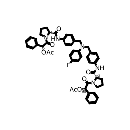 CC(=O)O[C@@H](C(=O)N1CCC[C@H]1C(=O)Nc1ccc(CN(Cc2ccc(NC(=O)[C@@H]3CCCN3C(=O)[C@H](OC(C)=O)c3ccccc3)cc2)c2ccc(F)cc2)cc1)c1ccccc1